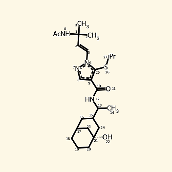 CC(=O)NC(C)(C)/C=C/n1ncc(C(=O)NC(C)C2CC3CCC[C@@](O)(C3)C2)c1SC(C)C